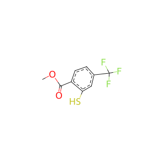 COC(=O)c1ccc(C(F)(F)F)cc1S